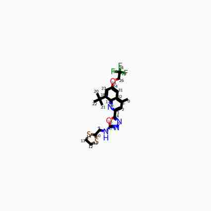 Cc1cc(-c2nnc(NCC3SCCS3)o2)nc2c(C(C)(C)C)cc(OCC(F)(F)F)cc12